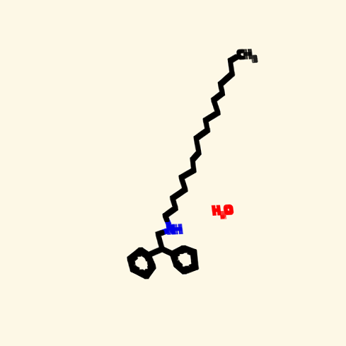 CCCCCCCCCCCCCCCCCCNCC(c1ccccc1)c1ccccc1.O